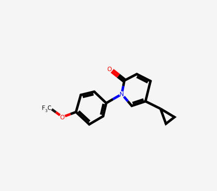 O=c1ccc(C2CC2)cn1-c1ccc(OC(F)(F)F)cc1